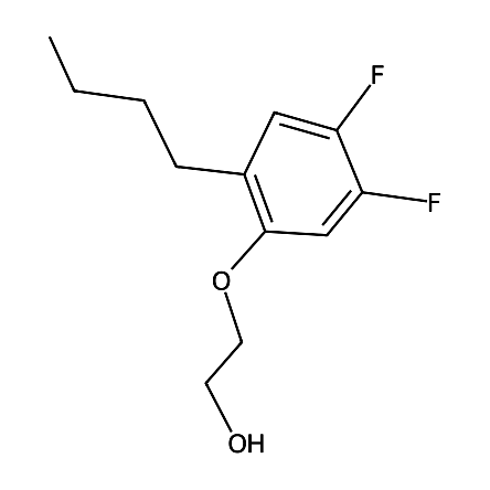 CCCCc1cc(F)c(F)cc1OCCO